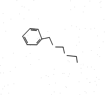 O=C(O)COCOCc1ccccc1